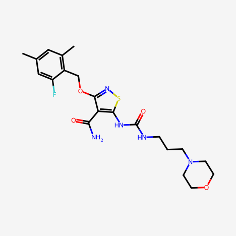 Cc1cc(C)c(COc2nsc(NC(=O)NCCCN3CCOCC3)c2C(N)=O)c(F)c1